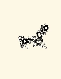 COc1cc2cc(C(=O)N[C@@H](CC(C)C)C(=O)NC3CCCN(S(=O)(=O)c4ccccc4F)CC3=O)oc2cc1OC